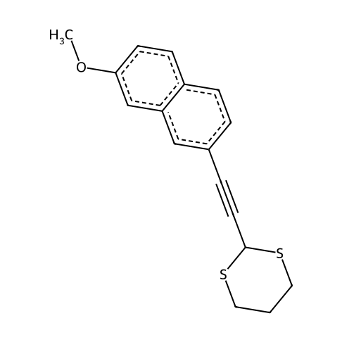 COc1ccc2ccc(C#CC3SCCCS3)cc2c1